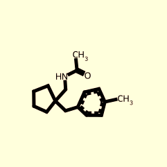 CC(=O)NCC1(Cc2ccc(C)cc2)CCCC1